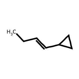 CCC=C[C]1CC1